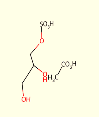 CC(=O)O.O=S(=O)(O)OCC(O)CO